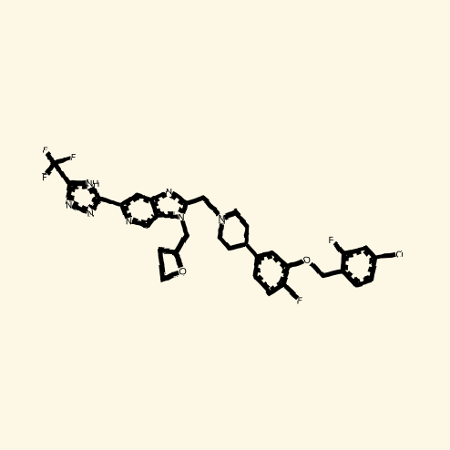 Fc1cc(Cl)ccc1COc1cc(C2CCN(Cc3nc4cc(-c5nnc(C(F)(F)F)[nH]5)ncc4n3CC3CCO3)CC2)ccc1F